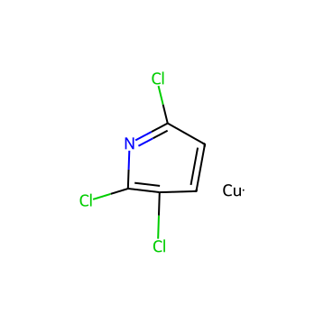 Clc1ccc(Cl)c(Cl)n1.[Cu]